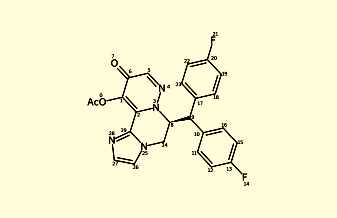 CC(=O)Oc1c2n(ncc1=O)[C@@H](C(c1ccc(F)cc1)c1ccc(F)cc1)Cn1ccnc1-2